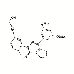 COc1cc(OC)cc(-c2nn(-c3cc(C#CCO)ccc3C(F)(F)F)c(=O)c3c2CCC3)c1